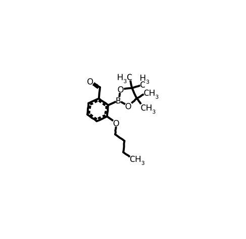 CCCCOc1cccc(C=O)c1B1OC(C)(C)C(C)(C)O1